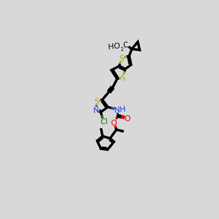 Cc1ccccc1C(C)OC(=O)Nc1c(Cl)nsc1C#Cc1cc2sc(C3(C(=O)O)CC3)cc2s1